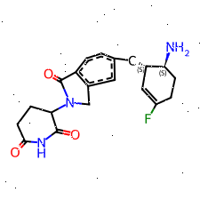 N[C@H]1CCC(F)=C[C@@H]1Cc1ccc2c(c1)CN(C1CCC(=O)NC1=O)C2=O